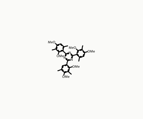 COc1cc(C)c(-c2nc(-c3cc(C)c(OC)c(C)c3OC)nc(-c3c(C)cc(OC)c(C)c3OC)n2)c(OC)c1C